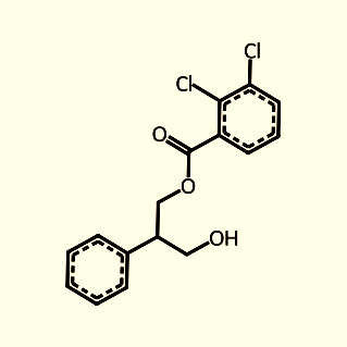 O=C(OCC(CO)c1ccccc1)c1cccc(Cl)c1Cl